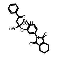 CCCC(CC(=O)c1ccccc1)(Oc1cc(N2C(=O)C3=C(CCCC3)C2=O)ccc1Br)C(=O)O